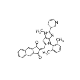 Cc1cccc(C)c1-n1c(C=C2C(=O)c3cc4ccccc4cc3C2=O)cc2c1nc(C1C=NC=CC1)n2C